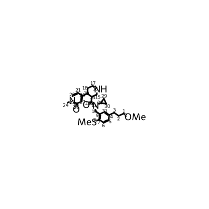 COCCCc1ccc(SC)c(CN(C(=O)C2CNCCC2c2ccn(C)c(=O)c2)C2CC2)c1